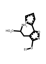 CCOc1noc(-c2cccs2)c1CC(N)C(=O)O